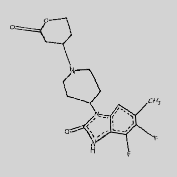 Cc1cc2c([nH]c(=O)n2C2CCN(C3CCOC(=O)C3)CC2)c(F)c1F